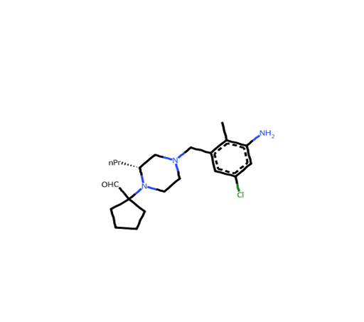 CCC[C@@H]1CN(Cc2cc(Cl)cc(N)c2C)CCN1C1(C=O)CCCC1